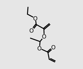 C=CC(=O)OC(C)OC(=C)C(=O)OCC